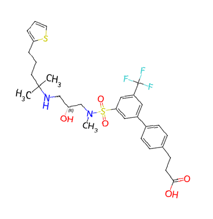 CN(C[C@H](O)CNC(C)(C)CCCc1cccs1)S(=O)(=O)c1cc(-c2ccc(CCC(=O)O)cc2)cc(C(F)(F)F)c1